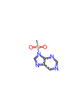 CS(=O)(=O)n1cnc2cncnc21